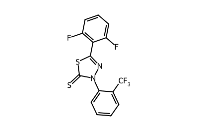 Fc1cccc(F)c1-c1nn(-c2ccccc2C(F)(F)F)c(=S)s1